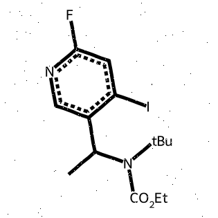 CCOC(=O)N(C(C)c1cnc(F)cc1I)C(C)(C)C